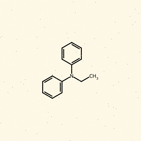 CCN(c1[c]cccc1)c1ccccc1